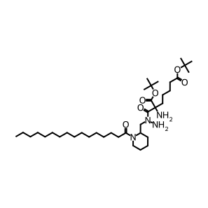 CCCCCCCCCCCCCCCC(=O)N1CCCCC1CN(N)C(=O)C(N)(CCCCC(=O)OC(C)(C)C)C(=O)OC(C)(C)C